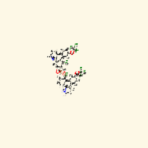 O=S(=O)(Cc1ccc(-c2ncccc2-c2ccc(OC(F)(F)F)cc2)cc1F)Cc1ccc(-c2ncccc2-c2ccc(OC(F)(F)F)cc2)cc1F